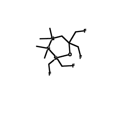 C[Si]1(C)CC(CF)(CF)O[Si](CF)(CF)[Si]1(C)C